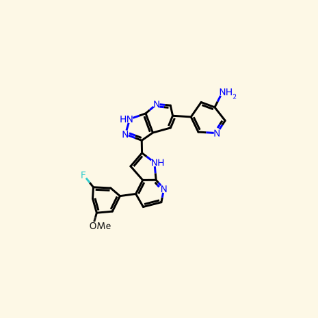 COc1cc(F)cc(-c2ccnc3[nH]c(-c4n[nH]c5ncc(-c6cncc(N)c6)cc45)cc23)c1